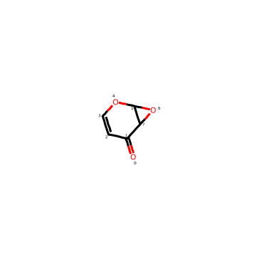 O=C1C=COC2OC12